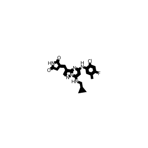 Cc1cc(Nc2cc(NCC3CC3)n3ncc(/C=C4\CC(=O)NC4=O)c3n2)c(Cl)cc1F